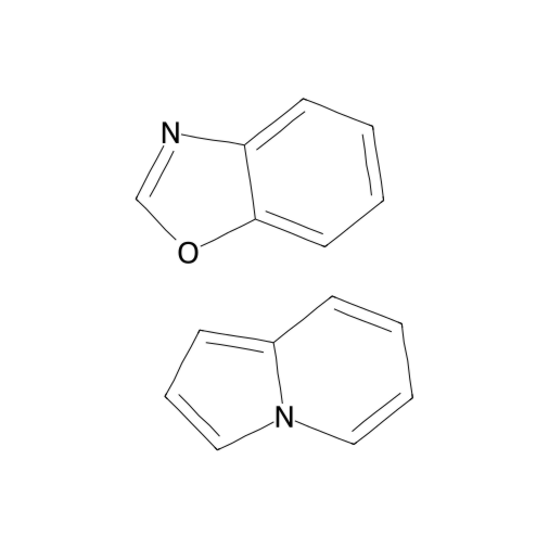 c1ccc2ocnc2c1.c1ccn2cccc2c1